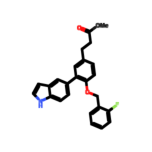 COC(=O)CCc1ccc(OCc2ccccc2F)c(-c2ccc3[nH]ccc3c2)c1